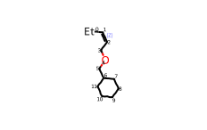 CC/C=C\COCC1CCCCC1